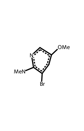 CNc1ncc(OC)cc1Br